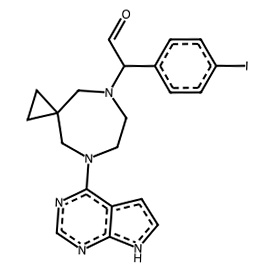 O=CC(c1ccc(I)cc1)N1CCN(c2ncnc3[nH]ccc23)CC2(CC2)C1